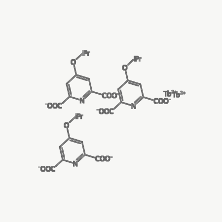 CC(C)Oc1cc(C(=O)[O-])nc(C(=O)[O-])c1.CC(C)Oc1cc(C(=O)[O-])nc(C(=O)[O-])c1.CC(C)Oc1cc(C(=O)[O-])nc(C(=O)[O-])c1.[Tb+3].[Tb+3]